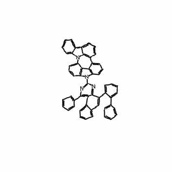 c1ccc(-c2ccccc2-c2cc3ccccc3c3c(-c4ccccc4)nc(-n4c5cccc6c7cccc8c9ccccc9n(c9cccc4c9c65)c78)nc23)cc1